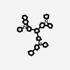 c1ccc(-c2ccc(N(c3ccccc3)c3ccc(-c4cc(-c5ccc6c(c5)c5ccccc5n6-c5ccccc5)cc(-c5ccc6c(c5)c5cc7ccccc7cc5n6-c5ccccc5)c4)cc3)cc2)cc1